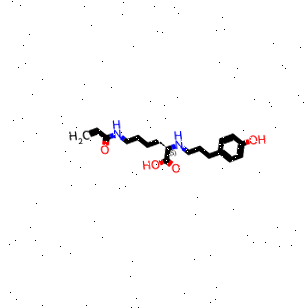 C=CC(=O)NCCCC[C@H](NCCCc1ccc(O)cc1)C(=O)O